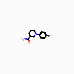 NC(=O)C1CCCN(c2ccc(C(F)(F)F)cc2)C1